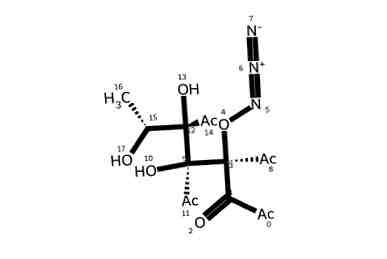 CC(=O)C(=O)[C@@](ON=[N+]=[N-])(C(C)=O)[C@](O)(C(C)=O)[C@](O)(C(C)=O)[C@@H](C)O